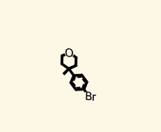 CC1(c2ccc(Br)cc2)CCOCC1